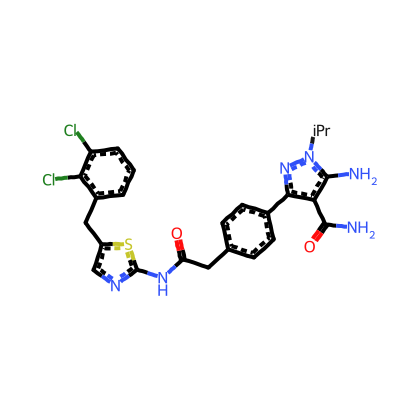 CC(C)n1nc(-c2ccc(CC(=O)Nc3ncc(Cc4cccc(Cl)c4Cl)s3)cc2)c(C(N)=O)c1N